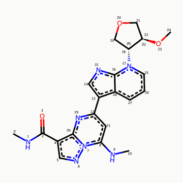 CNC(=O)c1cnn2c(NC)cc(-c3cnc4n([C@@H]5COC[C@H]5OC)cccc3-4)nc12